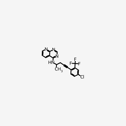 CC(CC#Cc1ccc(Cl)cc1C(F)(F)F)Nc1ncnc2ncccc12